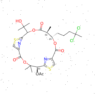 CC(=O)O[C@@H]1c2nc(cs2)C(=O)O[C@@H](CCCC(C)(Cl)Cl)[C@H](C)C(=O)OC(C(C)(C)O)c2nc(cs2)C(=O)OC1(C)C